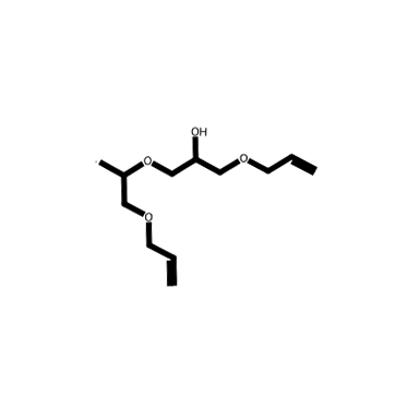 [CH2]C(COCC=C)OCC(O)COCC=C